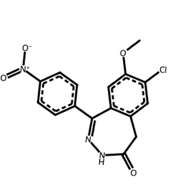 COc1cc2c(cc1Cl)CC(=O)NN=C2c1ccc([N+](=O)[O-])cc1